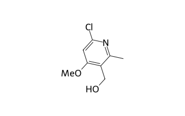 COc1cc(Cl)nc(C)c1CO